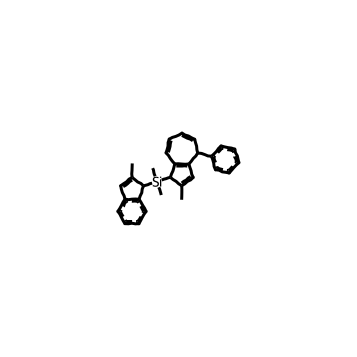 CC1=CC2=C(C=CC=CC2c2ccccc2)C1[Si](C)(C)C1C(C)=Cc2ccccc21